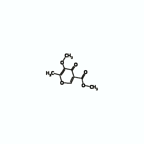 COC(=O)c1coc(C)c(OC)c1=O